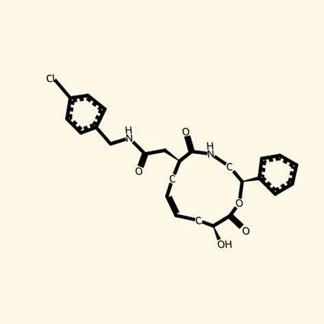 O=C(C[C@@H]1CC=CC[C@H](O)C(=O)O[C@H](c2ccccc2)CNC1=O)NCc1ccc(Cl)cc1